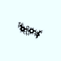 Cc1cc(CF)n(CC2CCC(NC(=O)c3cc(C(F)(F)F)ccc3Cl)CC2)n1